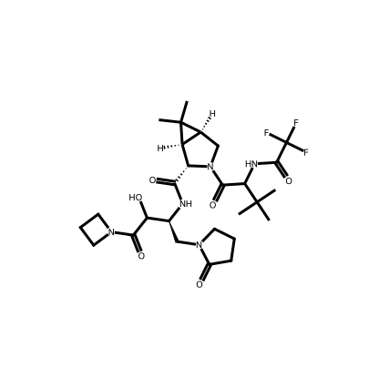 CC(C)(C)C(NC(=O)C(F)(F)F)C(=O)N1C[C@H]2[C@@H]([C@H]1C(=O)N[C@@H](CN1CCCC1=O)C(O)C(=O)N1CCC1)C2(C)C